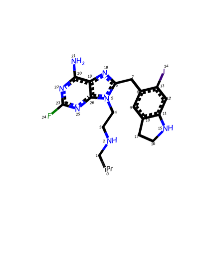 CC(C)CNCCn1c(Cc2cc3c(cc2I)NCC3)nc2c(N)nc(F)nc21